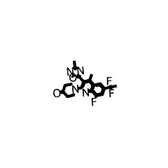 Cc1noc(-c2c(N3CCC(=O)CC3)nc3c(F)cc(C(C)(F)F)cc3c2C)n1